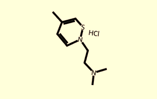 CC1=CSN(CCN(C)C)C=C1.Cl